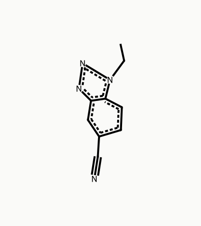 CCn1nnc2cc(C#N)ccc21